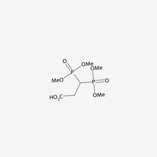 COP(=O)(OC)C(CC(=O)O)P(=O)(OC)OC